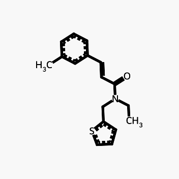 CCN(Cc1cccs1)C(=O)C=Cc1cccc(C)c1